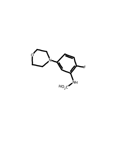 O=C(O)Nc1cc(N2CCOCC2)ccc1F